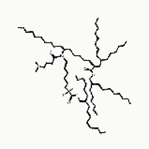 CCCCCCCCCCC(CCCCC=C(CC(CCCCCC)CCCCCCCC)C(=O)OCC(CCCCCC)CCCCCCCC)N(CCCCCCC(F)(F)C(=O)OCC(CCCCCC)CCCCCCCC)C(=O)CCCN(C)C